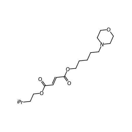 CC(C)CCOC(=O)/C=C/C(=O)OCCCCCN1CCOCC1